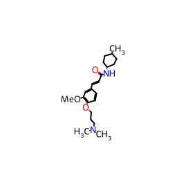 COc1cc(/C=C/C(=O)N[C@H]2CC[C@H](C)CC2)ccc1OCCCN(C)C